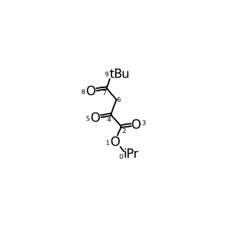 CC(C)OC(=O)C(=O)CC(=O)C(C)(C)C